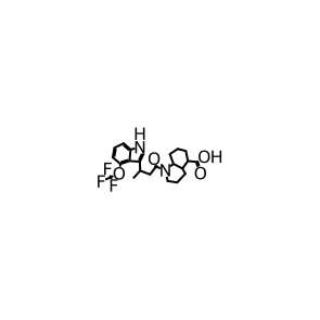 CC(CC(=O)N1CCCC2C(C(=O)O)CCCC21)c1c[nH]c2cccc(OC(F)(F)F)c12